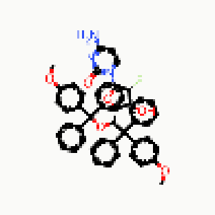 COc1ccc(C(OC([C@H]2O[C@@H](n3ccc(N)nc3=O)[C@H](F)[C@@H]2O)C(c2ccccc2)(c2ccccc2)c2ccc(OC)cc2)(c2ccccc2)c2ccccc2)cc1